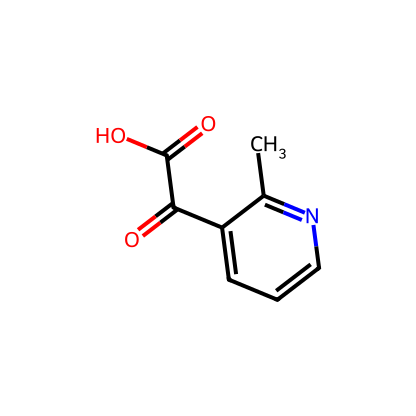 Cc1ncccc1C(=O)C(=O)O